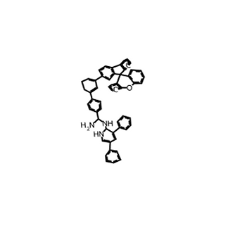 NC(NC1NC=C(c2ccccc2)C=C1c1ccccc1)c1ccc(C2=CC(c3ccc4c(c3)C3(c5ccccc5Oc5ccccc53)c3ccccc3-4)=CCC2)cc1